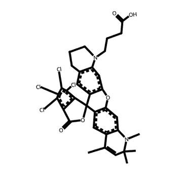 CC1=CC(C)(C)N(C)c2cc3c(cc21)C1(OC(=O)c2c(Cl)c(Cl)c(Cl)c(Cl)c21)c1cc2c(cc1O3)N(CCCC(=O)O)CCC2